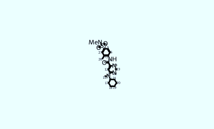 CNS(=O)(=O)c1ccc(NC(=O)c2cc(N(C)C3CCCCC3)ncn2)c(C)c1